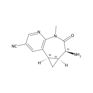 CN1C(=O)[C@@H](N)[C@H]2C[C@H]2c2cc(C#N)cnc21